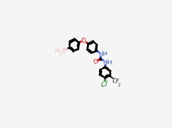 Bc1ccc(Oc2ccc(NC(=O)Nc3ccc(Cl)c(C(F)(F)F)c3)cc2)cc1